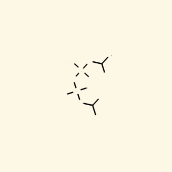 CCCCCCC[CH2][Sn]([CH2]CCCCCCC)([O]C(C)CCCC)[O][Sn]([CH2]CCCCCCC)([CH2]CCCCCCC)[O]C(C)CCCC